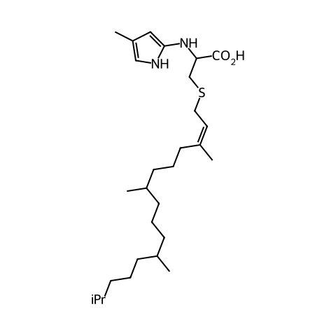 CC(=CCSCC(Nc1cc(C)c[nH]1)C(=O)O)CCCC(C)CCCC(C)CCCC(C)C